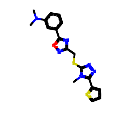 CN(C)c1cccc(-c2nc(CSc3nnc(-c4cccs4)n3C)no2)c1